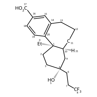 CC[C@@]12CC[C@](O)(CCC(F)(F)F)C[C@@H]1CCCc1cc(C(=O)O)ccc12